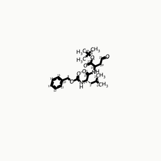 CC(C)C[C@H](NC(=O)OCc1ccccc1)C(=O)NC(CC=O)C(=O)OC(C)(C)C